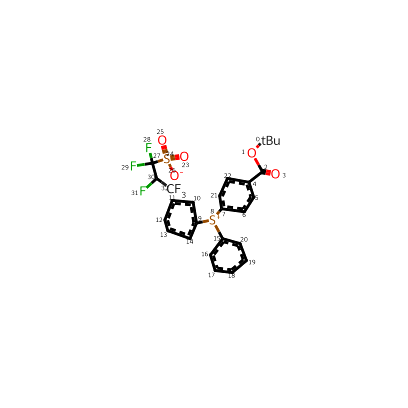 CC(C)(C)OC(=O)c1ccc([S+](c2ccccc2)c2ccccc2)cc1.O=S(=O)([O-])C(F)(F)C(F)C(F)(F)F